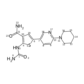 NC(=O)Nc1sc(-c2ccc(N3CCCCC3)nc2)cc1C(N)=O